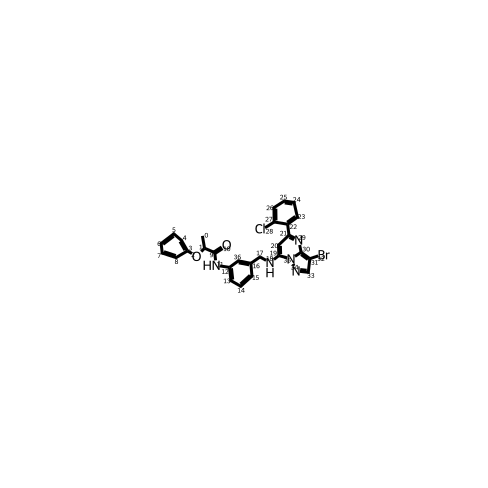 CC(Oc1ccccc1)C(=O)Nc1cccc(CNc2cc(-c3ccccc3Cl)nc3c(Br)cnn23)c1